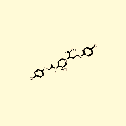 Cl.O=C(COc1ccc(Cl)cc1)NC1CCN(C(CCOc2ccc(Cl)cc2)C(=O)O)CC1